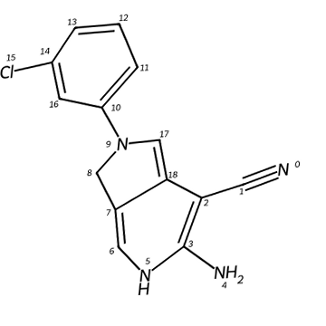 N#CC1=C(N)NC=C2CN(c3cccc(Cl)c3)C=C21